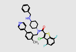 Cc1ccc(-c2ccncc2)cc1CN(C(=O)c1sc2c(F)ccc(F)c2c1Cl)[C@H]1CC[C@H](NCc2ccccc2)CC1